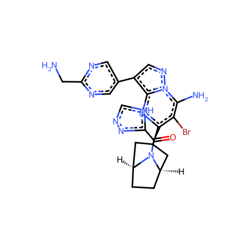 NCc1ncc(-c2cnn3c(N)c(Br)c([C@H]4C[C@H]5CC[C@@H](C4)N5C(=O)c4nnc[nH]4)nc23)cn1